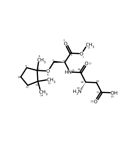 COC(=O)[C@H](COC1(C)CCCC1(C)C)NC(=O)[C@@H](N)CC(=O)O